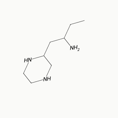 CCC(N)CC1CNCCN1